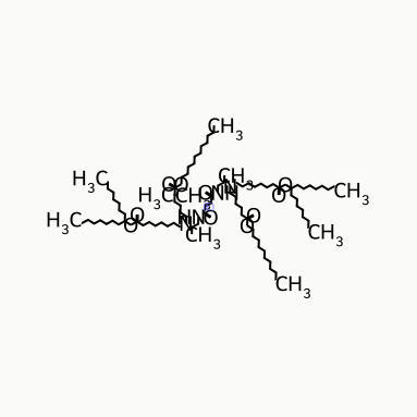 CCCCCCCCCCCOC(=O)CCCCCN(CCCCCCCC(=O)OC(CCCCCCCC)CCCCCCCC)C(C)CNC(=O)/C=C/C(=O)NCC(C)N(CCCCCCCC(=O)OC(CCCCCCCC)CCCCCCCC)CCCCC(C)(C)C(=O)OCCCCCCCCCCC